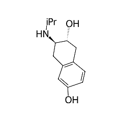 CC(C)N[C@@H]1Cc2cc(O)ccc2C[C@H]1O